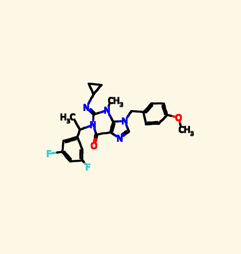 COc1ccc(Cn2cnc3c(=O)n(C(C)c4cc(F)cc(F)c4)/c(=N/C4CC4)n(C)c32)cc1